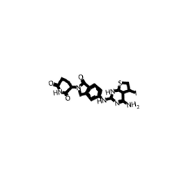 NC1=NC(Nc2ccc3c(c2)CN(C2CCC(=O)NC2=O)C3=O)NC2SCC(I)C12